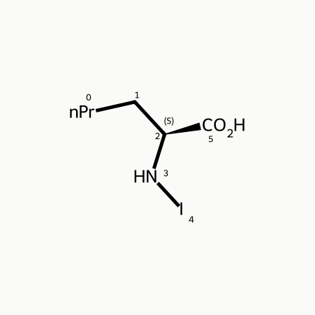 CCCC[C@H](NI)C(=O)O